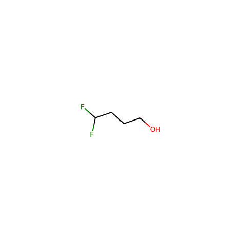 OCCCC(F)F